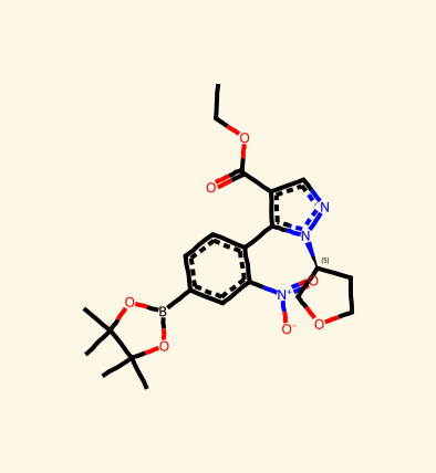 CCOC(=O)c1cnn([C@H]2CCOC2)c1-c1ccc(B2OC(C)(C)C(C)(C)O2)cc1[N+](=O)[O-]